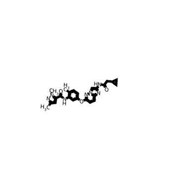 Cc1cc(C(=O)Nc2cc(Oc3ccc4nc(NC(=O)CC5CC5)cn4n3)ccc2C)n(C)n1